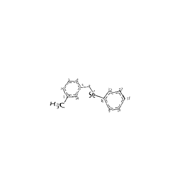 Cc1cccc(C[Se]c2ccccc2)c1